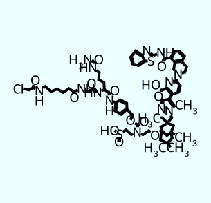 CCC1(Cn2ncc(-c3ccc(N4CCc5cccc(C(=O)Nc6nc7ccccc7s6)c5C4)nc3C(=O)O)c2C)CC2(C)CC(C)(C)CC(OCCN(CCS(=O)O)C(=O)OCc3ccc(NC(=O)C(CCCNC(N)=O)NC(=O)CNC(=O)CCCCCNC(=O)CCl)cc3)(C2)C1